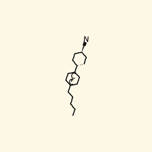 CCCCCC12CCC([C@H]3CC[C@H](C#N)CC3)(CC1)CC2